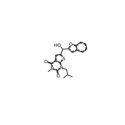 CC(C)Cn1c(=O)n(C)c(=O)c2cc(C(O)c3cc4ccccc4o3)sc21